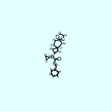 O=C(OCc1ccccc1)N(C1CC1)C1CC2(CCC3(CC2)OCCO3)C1